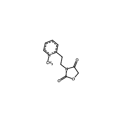 C[n+]1ccccc1CCN1C(=O)COC1=O